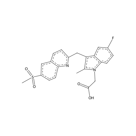 Cc1c(Cc2ccc3cc(S(C)(=O)=O)ccc3n2)c2cc(F)ccc2n1CC(=O)O